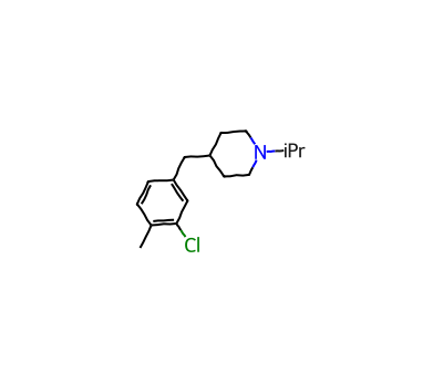 Cc1ccc(CC2CCN(C(C)C)CC2)cc1Cl